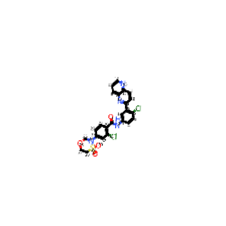 O=C(Nc1ccc(Cl)c(-c2ccc3ncccc3n2)c1)c1ccc(N2COCCS2(=O)=O)cc1Cl